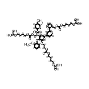 COc1ccccc1Oc1c(OCCOC(=O)OCCCCON(O)O)nc(-c2ccnc(-c3nnnn3COC(=O)OCCCCON(O)O)c2)nc1N(COC(=O)OCCCCON(O)O)S(=O)(=O)c1ccc(C)cn1